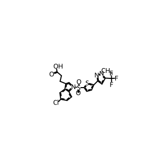 Cn1nc(-c2ccc(S(=O)(=O)n3cc(CCC(=O)O)c4cc(Cl)ccc43)s2)cc1C(F)(F)F